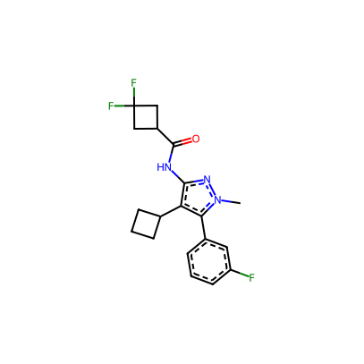 Cn1nc(NC(=O)C2CC(F)(F)C2)c(C2CCC2)c1-c1cccc(F)c1